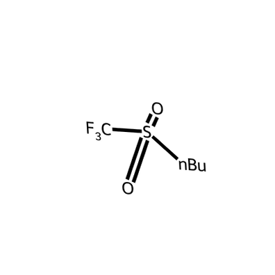 [CH2]CCCS(=O)(=O)C(F)(F)F